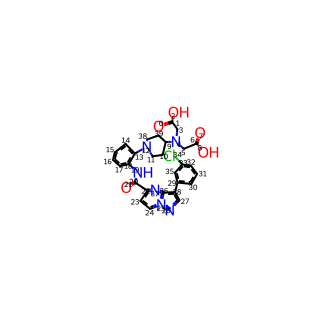 O=C(O)CN(CC(=O)O)C1CCN(c2ccccc2NC(=O)c2ccn3ncc(-c4cccc(Cl)c4)c3n2)CC1